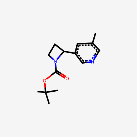 Cc1cncc(C2CCN2C(=O)OC(C)(C)C)c1